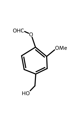 COc1cc(CO)ccc1OC=O